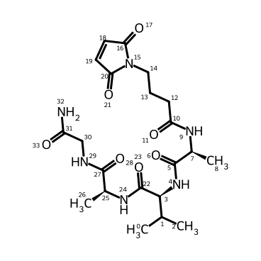 CC(C)[C@H](NC(=O)[C@H](C)NC(=O)CCCN1C(=O)C=CC1=O)C(=O)N[C@@H](C)C(=O)NCC(N)=O